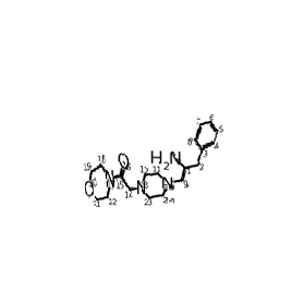 NC(Cc1ccccc1)CN1CCN(CC(=O)N2CCOCC2)CC1